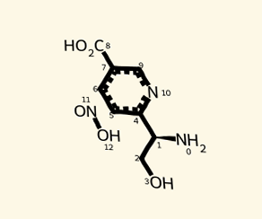 N[C@@H](CO)c1ccc(C(=O)O)cn1.O=NO